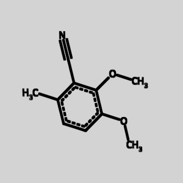 COc1ccc(C)c(C#N)c1OC